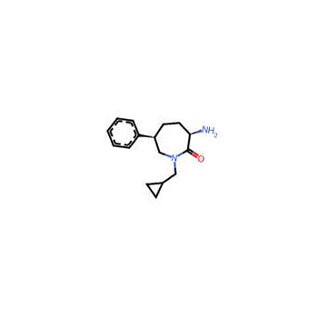 N[C@@H]1CC[C@H](c2ccccc2)CN(CC2CC2)C1=O